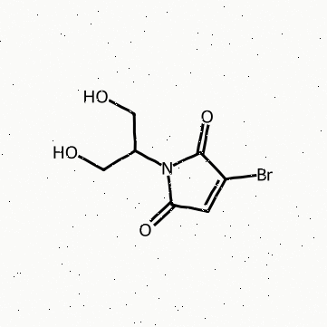 O=C1C=C(Br)C(=O)N1C(CO)CO